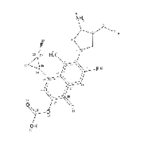 Cc1c(N2CC(N)C(CF)C2)c(F)cc2c(=O)c(OC(=O)O)cn([C@@H]3C[C@@H]3F)c12